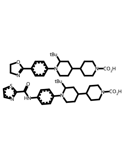 CC(C)(C)C1CC(C2CCN(C(=O)O)CC2)CCN1c1ccc(C2=NCCO2)cc1.CC(C)(C)C1CC(C2CCN(C(=O)O)CC2)CCN1c1ccc(NC(=O)c2nccs2)cc1